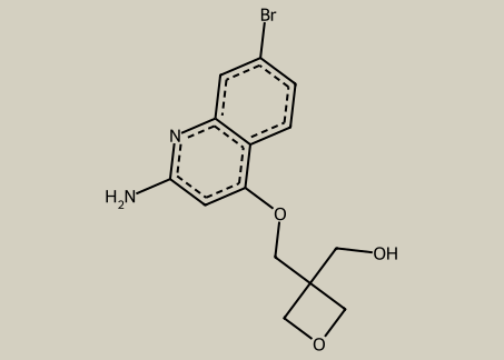 Nc1cc(OCC2(CO)COC2)c2ccc(Br)cc2n1